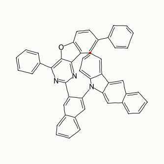 c1ccc(-c2ccc3oc4c(-c5ccccc5)nc(-c5cc6ccccc6cc5-n5c6ccccc6c6cc7ccccc7cc65)nc4c3c2)cc1